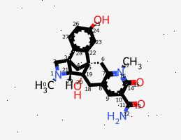 CN1CC23C[C@@]4(Cc5c(cc(C(N)=O)c(=O)n5C)C[C@@]4(O)[C@H]12)c1cc(O)ccc13